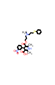 CC1=C(C(=O)O)C(c2cccc([N+](=O)[O-])c2)C(C(=O)OCCCN(C)CCCSc2ccccc2)=C(C)N1